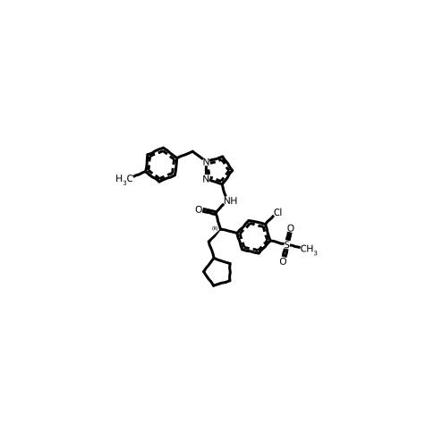 Cc1ccc(Cn2ccc(NC(=O)[C@H](CC3CCCC3)c3ccc(S(C)(=O)=O)c(Cl)c3)n2)cc1